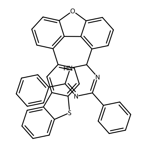 c1ccc(C2=NC(c3cccc4oc5cccc(-c6ccc7sc8ccccc8c7c6)c5c34)NC(c3ccccc3)=N2)cc1